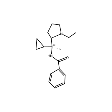 CCN1CCCC1[C@@](C)(NC(=O)c1ccccc1)C1CC1